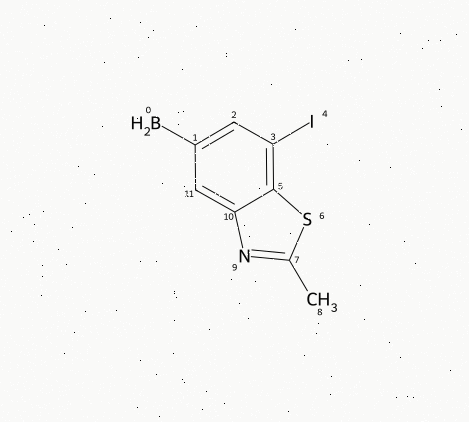 Bc1cc(I)c2sc(C)nc2c1